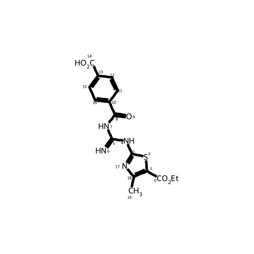 CCOC(=O)c1sc(NC(=N)NC(=O)c2ccc(C(=O)O)cc2)nc1C